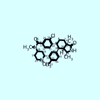 C[C@H]1NC(=O)[C@]2(C)CC[C@@H](c3ccc(C(=O)N(C)C4CCN(C)CC4)cc3Cl)[C@H](c3ccc(Cl)cc3)[C@H]12